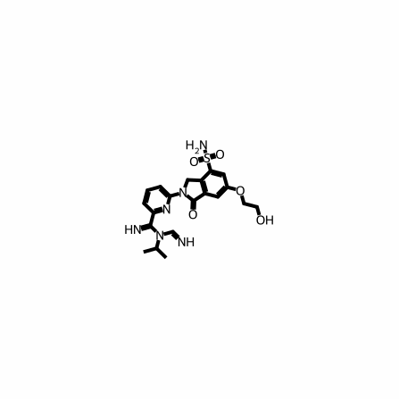 CC(C)N(C=N)C(=N)c1cccc(N2Cc3c(cc(OCCO)cc3S(N)(=O)=O)C2=O)n1